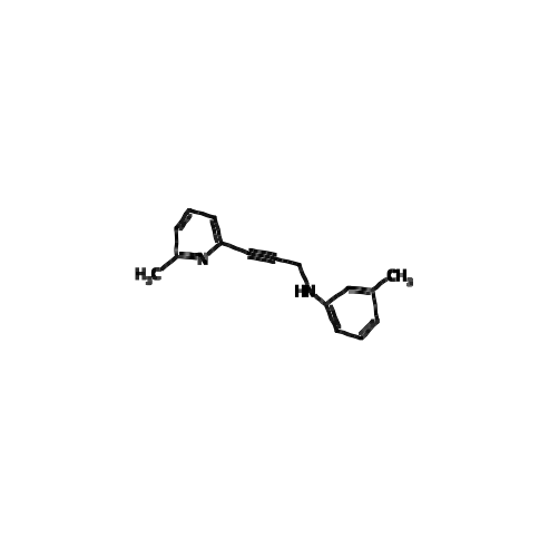 Cc1cccc(NCC#Cc2cccc(C)n2)c1